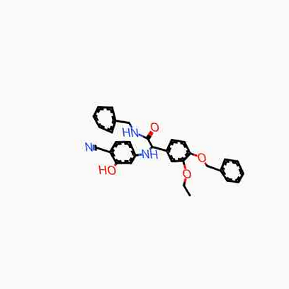 CCOc1cc(C(Nc2ccc(C#N)c(O)c2)C(=O)NCc2ccccc2)ccc1OCc1ccccc1